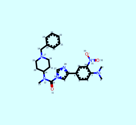 CN(C)c1ccc(-c2cn(C(=O)N(C)C3CCN(Cc4ccccc4)CC3)cn2)cc1[N+](=O)[O-]